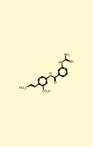 N=C(N)Nc1cccc(C(=O)Nc2ccc(/C=C/C(=O)O)c(C(=O)O)c2)c1